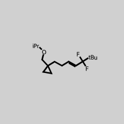 CC(C)OCC1(CC/C=C/C(F)(F)C(C)(C)C)CC1